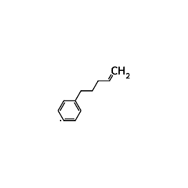 C=CCCCc1cc[c]cc1